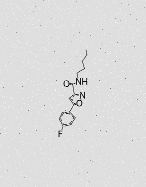 CCCCCNC(=O)c1cc(-c2ccc(F)cc2)on1